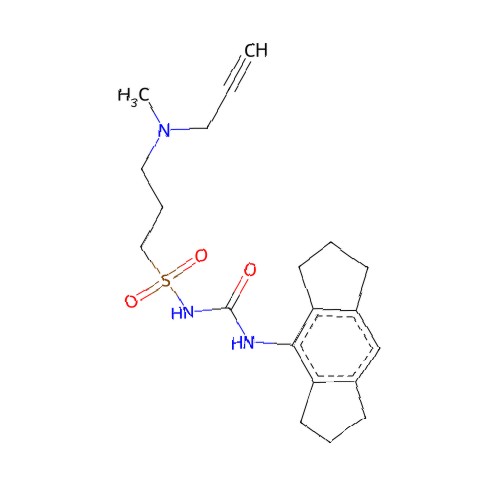 C#CCN(C)CCCS(=O)(=O)NC(=O)Nc1c2c(cc3c1CCC3)CCC2